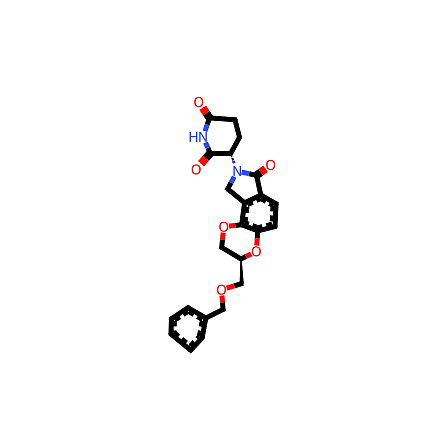 O=C1CC[C@H](N2Cc3c(ccc4c3OC[C@H](COCc3ccccc3)O4)C2=O)C(=O)N1